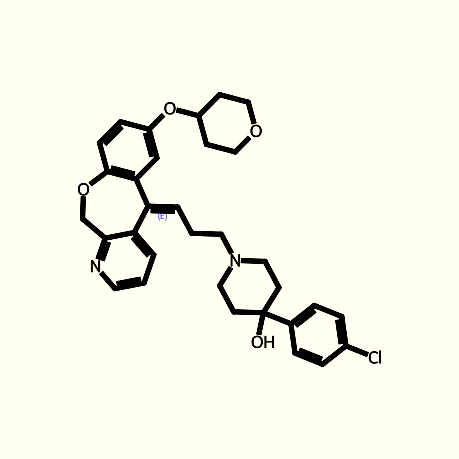 OC1(c2ccc(Cl)cc2)CCN(CC/C=C2/c3cc(OC4CCOCC4)ccc3OCc3ncccc32)CC1